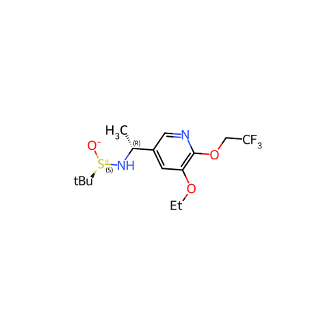 CCOc1cc([C@@H](C)N[S@+]([O-])C(C)(C)C)cnc1OCC(F)(F)F